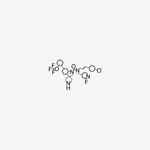 O=C(N(CC=Cc1ccc(Cl)cc1)Cc1ccnc(F)c1)N1CC2(CCNCC2)c2ccc(-c3ccccc3OC(F)(F)F)cc21